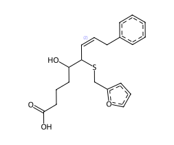 O=C(O)CCCC(O)C(/C=C\Cc1ccccc1)SCc1ccco1